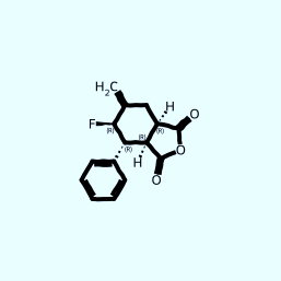 C=C1C[C@H]2C(=O)OC(=O)[C@H]2[C@H](c2ccccc2)[C@H]1F